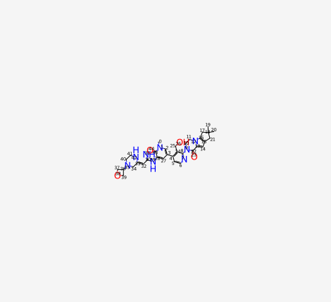 Cn1cc(-c2ccnc(N3CCn4c(cc5c4CC(C)(C)C5)C3=O)c2CO)cc(NC(=N)/C=C2/CN(C3COC3)CCN2)c1=O